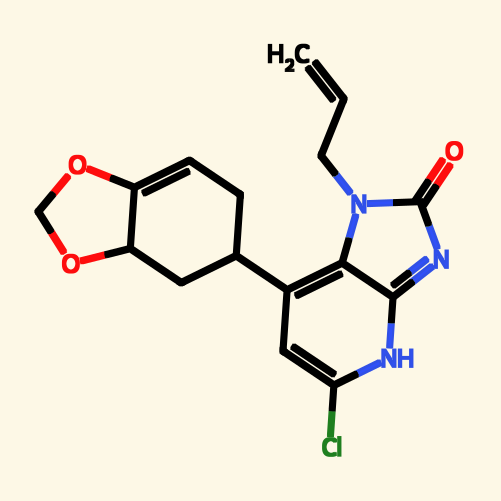 C=CCn1c2c(C3CC=C4OCOC4C3)cc(Cl)[nH]c-2nc1=O